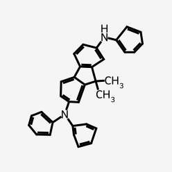 CC1(C)c2cc(Nc3ccccc3)ccc2-c2ccc(N(c3ccccc3)c3ccccc3)cc21